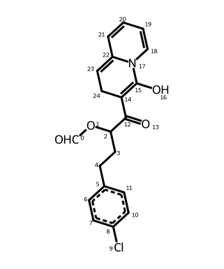 O=COC(CCc1ccc(Cl)cc1)C(=O)C1=C(O)N2C=CC=CC2=CC1